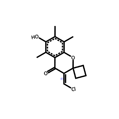 Cc1c(C)c2c(c(C)c1O)C(=O)/C(=C/Cl)C1(CCC1)O2